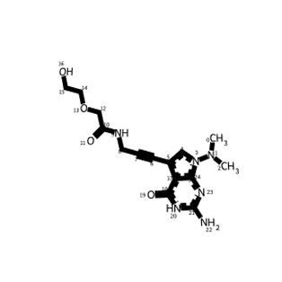 CN(C)n1cc(C#CCNC(=O)COCCO)c2c(=O)[nH]c(N)nc21